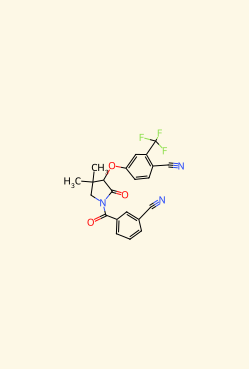 CC1(C)CN(C(=O)c2cccc(C#N)c2)C(=O)C1Oc1ccc(C#N)c(C(F)(F)F)c1